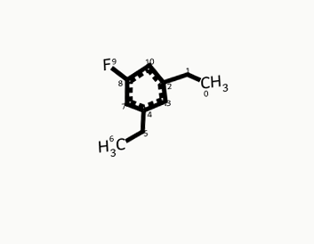 CCc1[c]c(CC)cc(F)c1